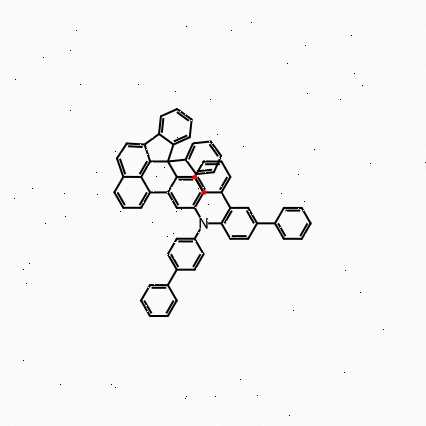 c1ccc(-c2ccc(N(c3ccc4c(c3)-c3cccc5ccc6c(c35)C4(c3ccccc3)c3ccccc3-6)c3ccc(-c4ccccc4)cc3-c3ccccc3)cc2)cc1